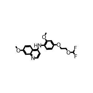 COc1ccc2c(Nc3ccc(OCCOC(F)F)cc3OC)ccnc2c1